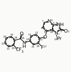 CC(C)n1c(=O)[nH]c2nccc(Oc3ccc(NC(=O)c4ccccc4C(F)(F)F)cc3F)c21